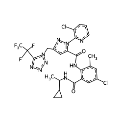 Cc1cc(Cl)cc(C(=O)NC(C)C2CC2)c1NC(=O)c1cc(Cn2nnnc2C(F)(F)C(F)(F)F)nn1-c1ncccc1Cl